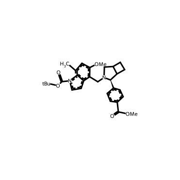 COC(=O)c1ccc([C@@H]2C3CCC3CN2Cc2c(OC)cc(C)c3c2ccn3C(=O)OC(C)(C)C)cc1